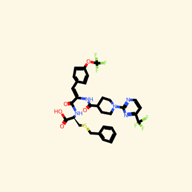 O=C(N[C@@H](CSCc1ccccc1)C(=O)O)C(=Cc1ccc(OC(F)(F)F)cc1)NC(=O)C1CCN(c2nccc(C(F)(F)F)n2)CC1